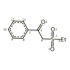 CCS(=O)(=O)CC(=O)c1ccccc1